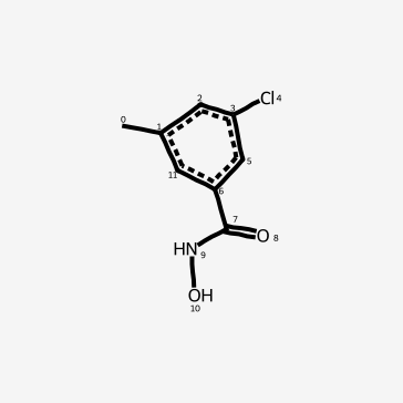 Cc1cc(Cl)cc(C(=O)NO)c1